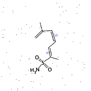 C=C(C)/C=C\C=C(/C)S(N)(=O)=O